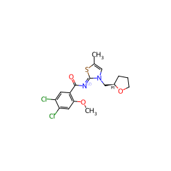 COc1cc(Cl)c(Cl)cc1C(=O)/N=c1\sc(C)cn1C[C@H]1CCCO1